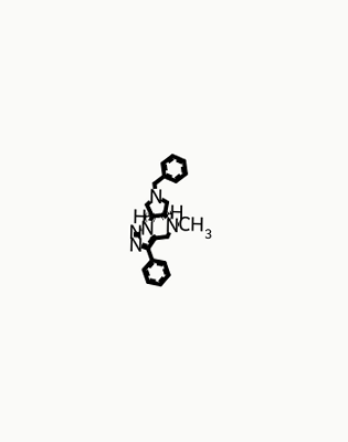 CN1Cc2c(-c3ccccc3)nnn2[C@H]2CN(Cc3ccccc3)C[C@H]21